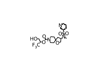 CN(C1COC2(CCN(C(=O)OC(CO)C(F)(F)F)CC2)C1)S(=O)(=O)c1cccnc1